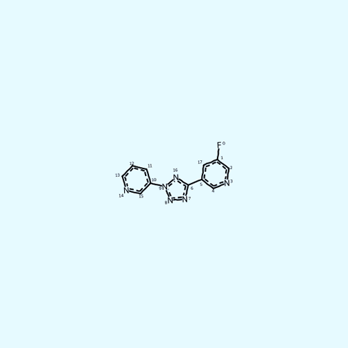 Fc1cncc(-c2nnn(-c3cccnc3)n2)c1